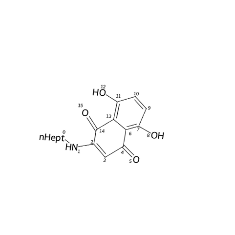 CCCCCCCNC1=CC(=O)c2c(O)ccc(O)c2C1=O